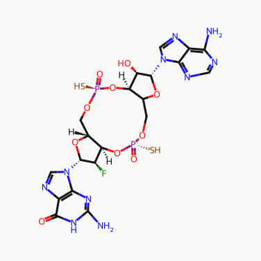 Nc1nc2c(ncn2[C@@H]2O[C@@H]3CO[P@@](=O)(S)O[C@@H]4C(CO[P@](=O)(S)O[C@H]3[C@H]2F)O[C@@H](n2cnc3c(N)ncnc32)[C@@H]4O)c(=O)[nH]1